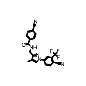 Cc1cn(-c2ccc(C#N)c(C(F)(F)F)c2)nc1CNC(=O)c1ccc(C#N)cc1